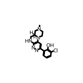 CN1CCN2c3cc(-c4cccc(Cl)c4O)nnc3NC[C@@H]2C1